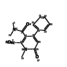 CCCCCCCCCCc1c(C(=O)N(C)C)c(-c2ccccc2)cc(=O)n1C